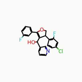 OC(C1=C(c2cccc(F)c2)OCC1c1ccc(Cl)cc1F)c1cccnc1